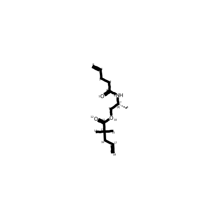 C=CCCC(=O)N[C@H](C)COC(=O)C(C)(C)CC=C